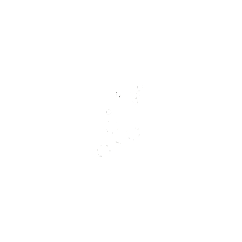 CC/C(=C(\c1ccccc1)c1ccc(OCCN(C)CCS(C)(=O)=O)cc1)c1ccccc1